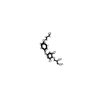 OCC(O)COc1c(Cl)cc(Sc2ccc(OCCCCl)cc2)cc1Cl